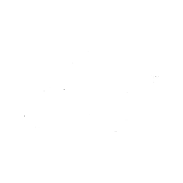 CNCC1Cc2ccc(CNS(=O)(=O)CC3CC3)cc2C1Cc1ccccc1